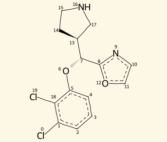 Clc1cccc(O[C@@H](c2ncco2)[C@H]2CCNC2)c1Cl